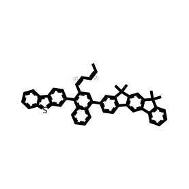 C/C=C\C=C/c1cc(-c2ccc3c(c2)C(C)(C)c2cc4c(cc2-3)-c2ccccc2C4(C)C)c2ccccc2c1-c1ccc2c(c1)sc1ccccc12